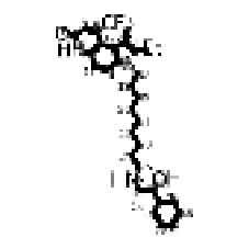 CCc1c(C)c2c3c(C(F)(F)F)cc(=O)[nH]c3ccc2n1CCCCCCCCCN[C@@H](C)C(O)C1C=CC=CC1